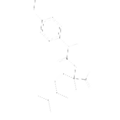 COc1ccc(C(Cl)C(=O)NC2(C(=O)O)CCC(C(C)C)CC2)cc1